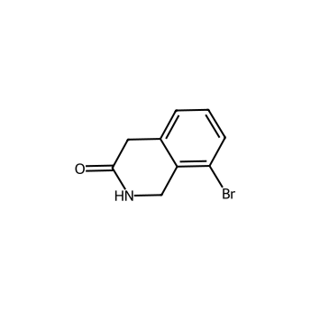 O=C1Cc2cccc(Br)c2CN1